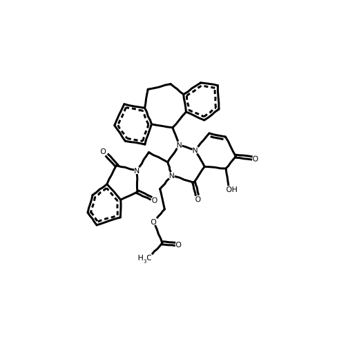 CC(=O)OCCN1C(=O)C2C(O)C(=O)C=CN2N(C2c3ccccc3CCc3ccccc32)C1CN1C(=O)c2ccccc2C1=O